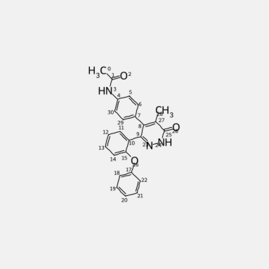 CC(=O)Nc1ccc(-c2c(-c3ccccc3Oc3ccccc3)n[nH]c(=O)c2C)cc1